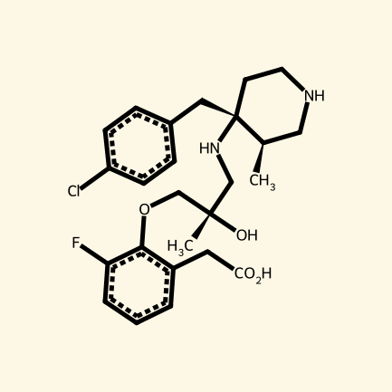 C[C@@H]1CNCC[C@@]1(Cc1ccc(Cl)cc1)NC[C@](C)(O)COc1c(F)cccc1CC(=O)O